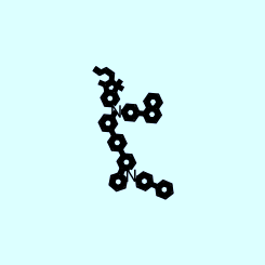 C=C/C=C\C1=C(C)c2ccc(N(c3ccc(-c4cccc5ccccc45)cc3)c3cccc(-c4ccc(-c5ccc6c(c5)c5ccccc5n6-c5ccc(-c6ccccc6)cc5)cc4)c3)cc2C1(C)C